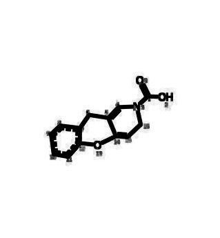 O=C(O)N1C=C2Cc3ccccc3OC2=CC1